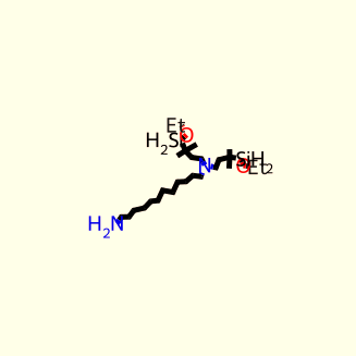 CCO[SiH2]C(C)(C)CCN(CCCCCCCCCCCCN)CCC(C)(C)[SiH2]OCC